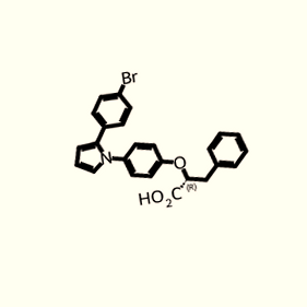 O=C(O)[C@@H](Cc1ccccc1)Oc1ccc(-n2cccc2-c2ccc(Br)cc2)cc1